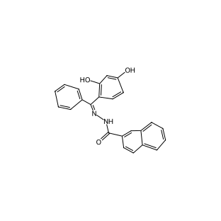 O=C(NN=C(c1ccccc1)c1ccc(O)cc1O)c1ccc2ccccc2c1